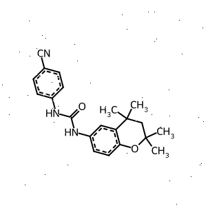 CC1(C)CC(C)(C)c2cc(NC(=O)Nc3ccc(C#N)cc3)ccc2O1